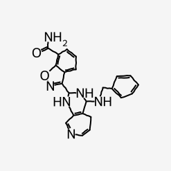 NC(=O)c1cccc2c(C3NC4=C(CC=CN=C4)C(NCc4ccccc4)N3)noc12